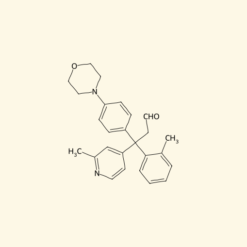 Cc1cc(C(CC=O)(c2ccc(N3CCOCC3)cc2)c2ccccc2C)ccn1